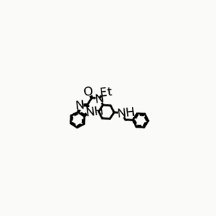 CCN(C(=O)c1nc2ccccc2[nH]1)C1CCCC(NCc2ccccc2)C1